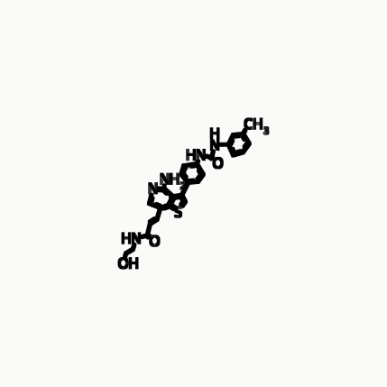 Cc1cccc(NC(=O)Nc2ccc(-c3csc4c(C=CC(=O)NCCO)cnc(N)c34)cc2)c1